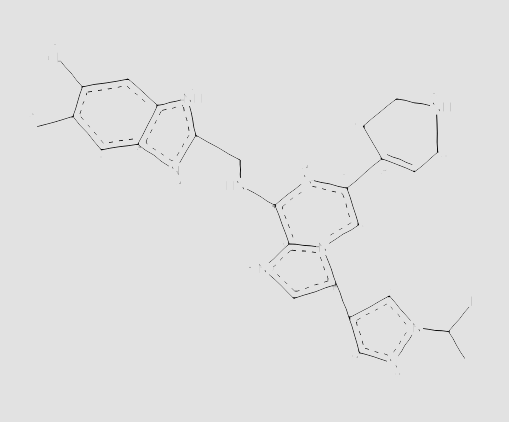 FC(F)n1cc(-c2cnc3c(NCc4nc5cc(Cl)c(Cl)cc5[nH]4)nc(C4=CCNCC4)cn23)cn1